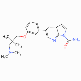 CN(C)CC(C)(C)COc1cccc(-c2cnc3c([c]cn3C(N)=O)c2)c1